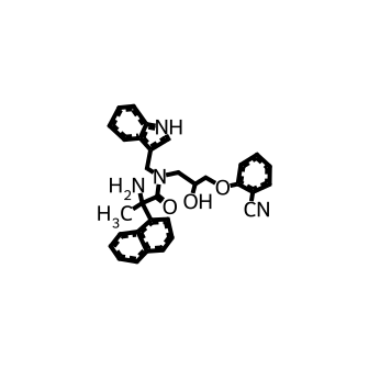 CC(N)(C(=O)N(Cc1c[nH]c2ccccc12)CC(O)COc1ccccc1C#N)c1cccc2ccccc12